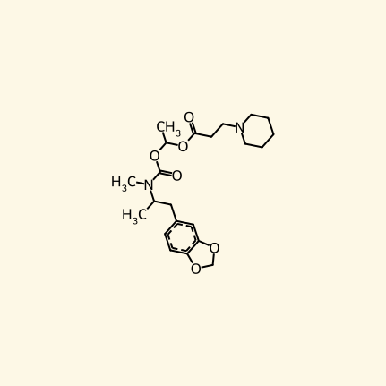 CC(OC(=O)CCN1CCCCC1)OC(=O)N(C)C(C)Cc1ccc2c(c1)OCO2